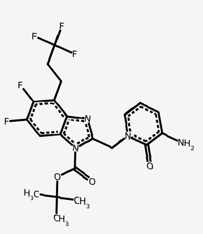 CC(C)(C)OC(=O)n1c(Cn2cccc(N)c2=O)nc2c(CCC(F)(F)F)c(F)c(F)cc21